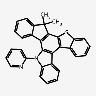 CC1(C)c2ccccc2-c2c1c1sc3ccccc3c1c1c3ccccc3n(-c3ccccn3)c21